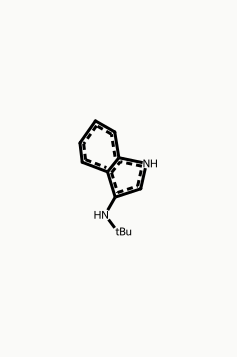 CC(C)(C)Nc1c[nH]c2ccccc12